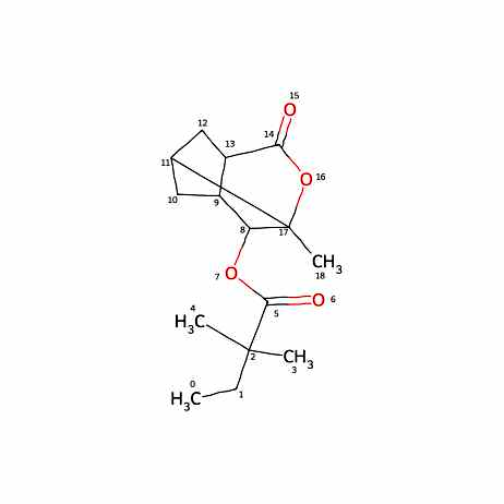 CCC(C)(C)C(=O)OC1C2CC3CC2C(=O)OC31C